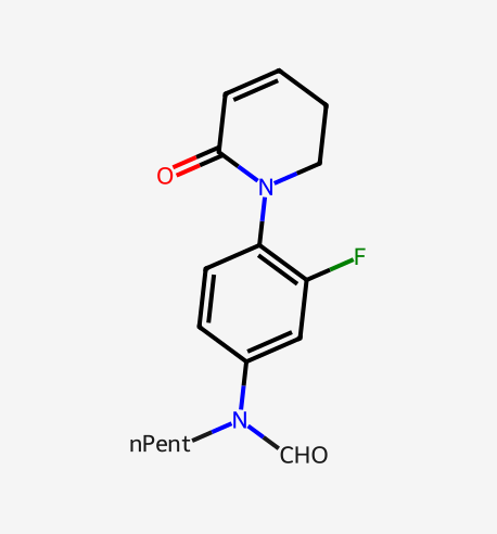 CCCCCN(C=O)c1ccc(N2CCC=CC2=O)c(F)c1